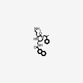 C[C@H](CN1CC[C@@H](CNC(=O)c2ccc3ccccc3c2)N[C@@H](CCCN)C1=O)c1ccccc1